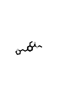 CCOC(=O)c1ccc(CCC2CCCO2)cc1CC